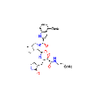 COCCNC(=O)C(=O)C(CC1CCNC1=O)NC(=O)C1C2CCCC2CN1C(=O)c1cc2c(OC)cccc2[nH]1